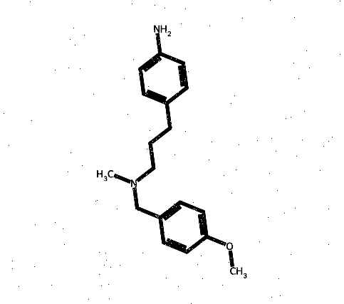 COc1ccc(CN(C)CCCc2ccc(N)cc2)cc1